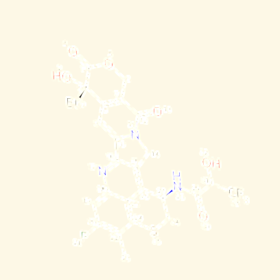 CC[C@@]1(O)C(=O)OCc2c1cc1n(c2=O)Cc2c-1nc1cc(F)c(C)c3c1c2[C@@H](NC(=O)[C@H](O)C(F)(F)F)CS3